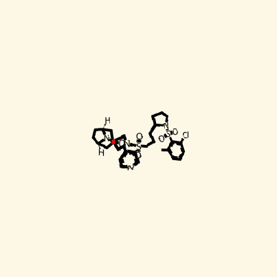 Cc1cccc(Cl)c1S(=O)(=O)N1CCCC1CCCS(=O)(=O)N1CC(N2[C@@H]3CC[C@H]2CC(Oc2ccncc2)C3)C1